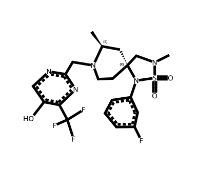 C[C@H]1C[C@]2(CCN1Cc1ncc(O)c(C(F)(F)F)n1)CN(C)S(=O)(=O)N2c1cccc(F)c1